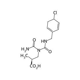 C[C@@H](CN(C(N)=O)C(=O)NCC1=CCC(Cl)C=C1)C(=O)O